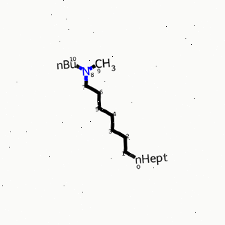 CCCCCCCCCCCCCCN(C)CCCC